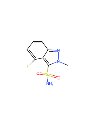 Cn1nc2cccc(F)c2c1S(N)(=O)=O